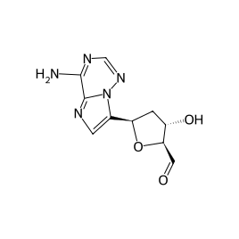 Nc1ncnn2c([C@H]3C[C@H](O)[C@@H](C=O)O3)cnc12